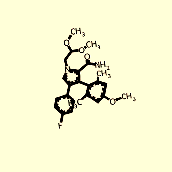 COc1cc(C)c(-c2c(-c3ccc(F)cc3)cn(CC(OC)OC)c2C(N)=O)c(C)c1